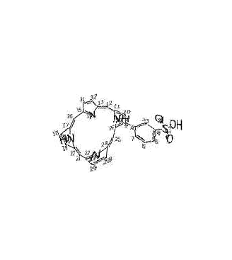 O=S(=O)(O)c1cccc(-c2cc3cc4nc(cc5ccc(cc6nc(cc2[nH]3)C=C6)[nH]5)C=C4)c1